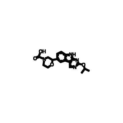 CC(C)Oc1ncc2c(n1)[nH]c1ccc(C3CN(C(=O)O)CCO3)cc12